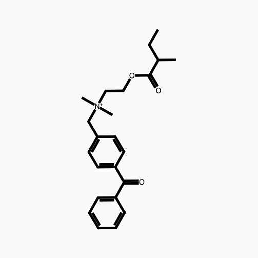 CCC(C)C(=O)OCC[N+](C)(C)Cc1ccc(C(=O)c2ccccc2)cc1